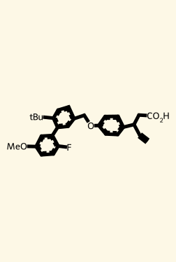 C#CC(CC(=O)O)c1ccc(OCc2ccc(C(C)(C)C)c(-c3cc(OC)ccc3F)c2)cc1